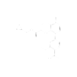 CCc1cc(-c2ccc(C)c(OC)c2OCC(=O)OCC2CC2)ccc1C(C)=O